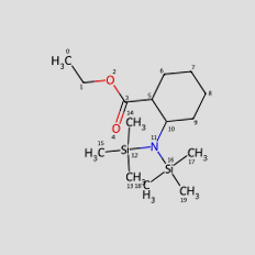 CCOC(=O)C1CCCCC1N([Si](C)(C)C)[Si](C)(C)C